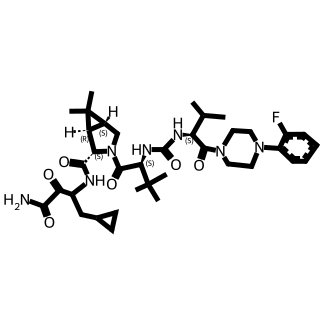 CC(C)[C@H](NC(=O)N[C@H](C(=O)N1C[C@H]2[C@@H]([C@H]1C(=O)NC(CC1CC1)C(=O)C(N)=O)C2(C)C)C(C)(C)C)C(=O)N1CCN(c2ccccc2F)CC1